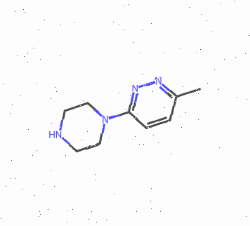 Cc1ccc(N2CCNCC2)nn1